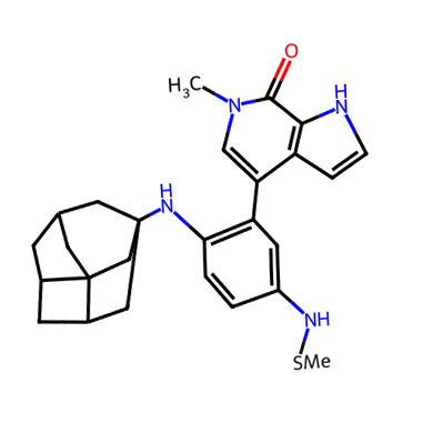 CSNc1ccc(NC23CC4CC5CC(C2)C5(C4)C3)c(-c2cn(C)c(=O)c3[nH]ccc23)c1